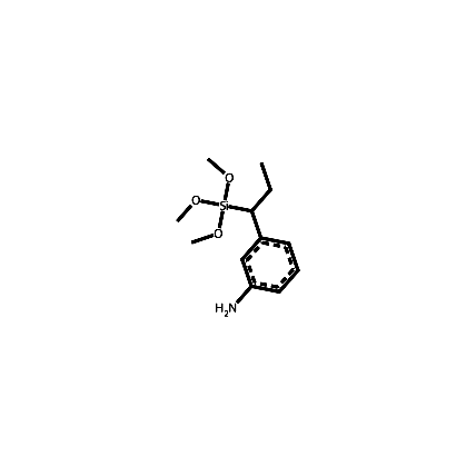 CCC(c1cccc(N)c1)[Si](OC)(OC)OC